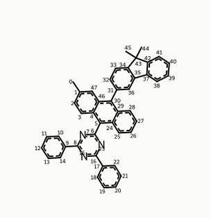 Cc1ccc2c(-c3nc(-c4ccccc4)nc(-c4ccccc4)n3)c3ccccc3c(-c3ccc4c(c3)-c3ccccc3C4(C)C)c2c1